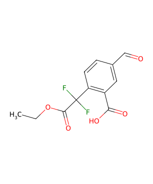 CCOC(=O)C(F)(F)c1ccc(C=O)cc1C(=O)O